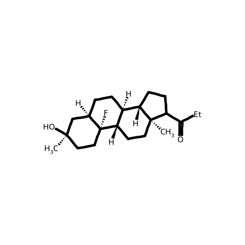 CCC(=O)C1CC[C@H]2[C@@H]3CC[C@@H]4C[C@](C)(O)CC[C@]4(F)[C@H]3CC[C@]12C